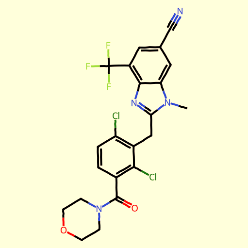 Cn1c(Cc2c(Cl)ccc(C(=O)N3CCOCC3)c2Cl)nc2c(C(F)(F)F)cc(C#N)cc21